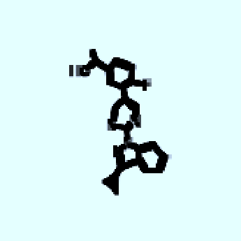 CC(O)c1ccc(F)c(-c2cnc(-n3nc(C4CC4)c4cc[c]cc43)nc2)c1